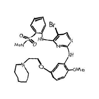 CNS(=O)(=O)c1ccccc1Nc1nc(Nc2cc(OCCN3CCCCC3)ccc2OC)ncc1Br